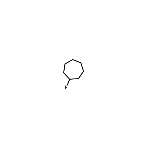 FC1C[CH]CCCC1